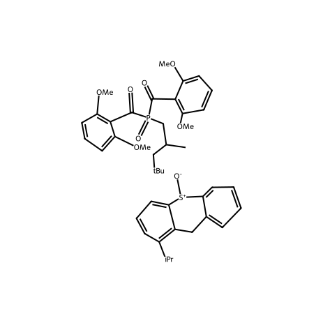 CC(C)c1cccc2c1Cc1ccccc1[S+]2[O-].COc1cccc(OC)c1C(=O)P(=O)(CC(C)CC(C)(C)C)C(=O)c1c(OC)cccc1OC